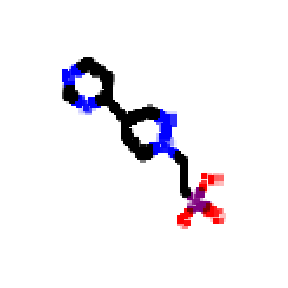 O=P([O-])(O)CC[n+]1ccc(-c2ccncn2)cn1